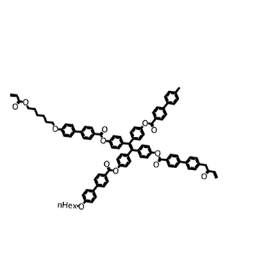 C=CC(=O)Cc1ccc(-c2ccc(C(=O)Oc3ccc(/C(=C(\c4ccc(OC(=O)c5ccc(-c6ccc(C)cc6)cc5)cc4)c4ccc(OC(=O)c5ccc(-c6ccc(OCCCCCCOC(=O)C=C)cc6)cc5)cc4)c4ccc(OC(=O)c5ccc(-c6ccc(OCCCCCC)cc6)cc5)cc4)cc3)cc2)cc1